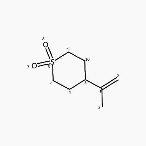 C=C(C)C1CCS(=O)(=O)CC1